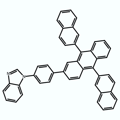 c1ccc2cc(-c3c4ccccc4c(-c4ccc5ccccc5c4)c4cc(-c5ccc(-n6cnc7ccccc76)cc5)ccc34)ccc2c1